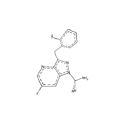 N=C(N)n1nc(Cc2ccccc2F)c2ncc(F)cc21